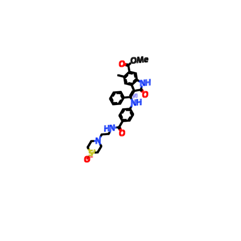 COC(=O)c1cc2c(cc1C)/C(=C(/Nc1ccc(C(=O)NCCN3CC[S+]([O-])CC3)cc1)c1ccccc1)C(=O)N2